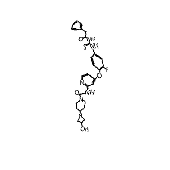 O=C(Cc1ccccc1)NC(=S)Nc1ccc(Oc2ccnc(NC(=O)N3CCC(N4CC(O)C4)CC3)c2)c(F)c1